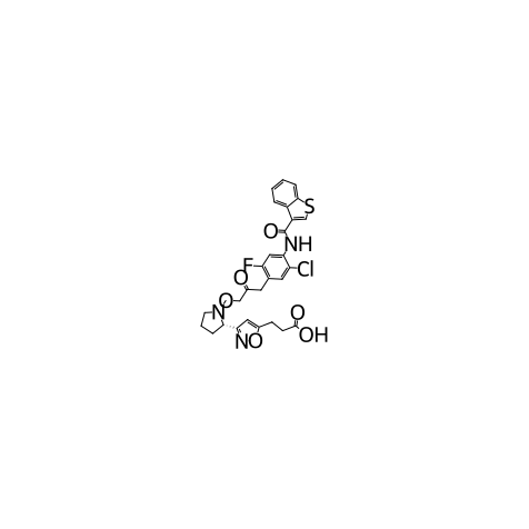 O=C(O)CCc1cc([C@@H]2CCCN2OCC(=O)Cc2cc(Cl)c(NC(=O)c3csc4ccccc34)cc2F)no1